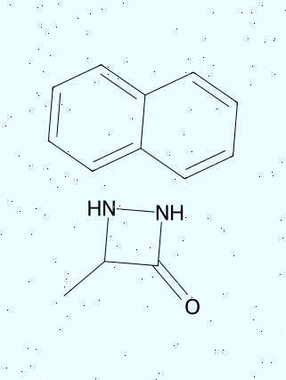 CC1NNC1=O.c1ccc2ccccc2c1